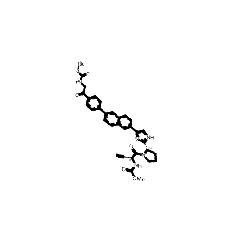 C#C[C@H](NC(=O)OC)C(=O)N1CCC[C@H]1c1nc(-c2ccc3cc(-c4ccc(C(=O)CNC(=O)OC(C)(C)C)cc4)ccc3c2)c[nH]1